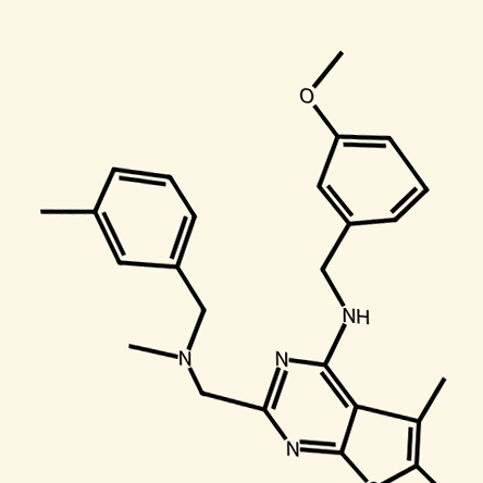 COc1cccc(CNc2nc(CN(C)Cc3cccc(C)c3)nc3sc(C)c(C)c23)c1